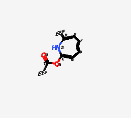 CCC(=O)OC1=CC=CC=C(CC)N1